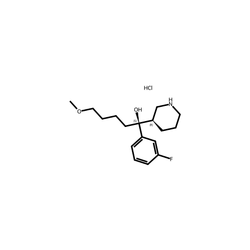 COCCCC[C@@](O)(c1cccc(F)c1)[C@@H]1CCCNC1.Cl